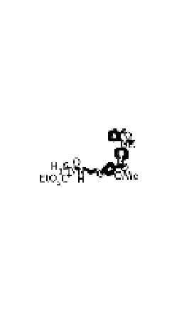 CCOC(=O)CN(C)C(=O)NCCCOc1ccc(C(=O)N2CCC(N3C(=O)OCc4ccccc43)CC2)c(OC)c1